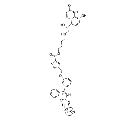 O=C(N[C@@H](c1ccccc1)c1cccc(OCc2csc(C(=O)OCCCCNC[C@H](O)c3ccc(O)c4[nH]c(=O)ccc34)c2)c1)O[C@H]1CN2CCC1CC2